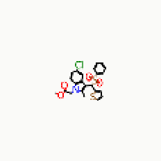 COC(=O)Cn1c(C)c(C(c2cccs2)S(=O)(=O)c2ccccc2)c2cc(Cl)ccc21